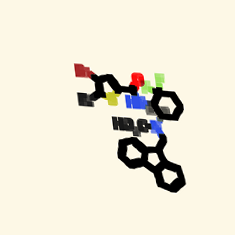 CCc1sc(C(=O)N[C@@H]2[C@@H](N(CC3c4ccccc4-c4ccccc43)C(=O)O)CCCC2(F)F)cc1Br